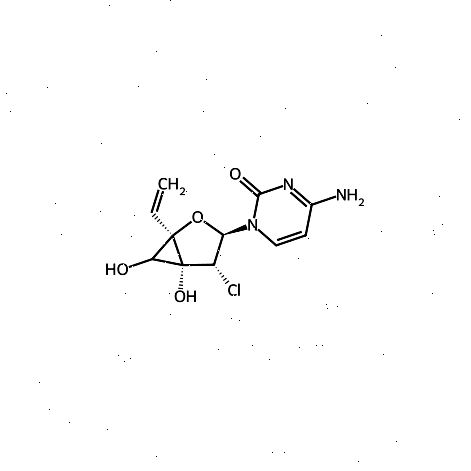 C=C[C@]12O[C@@H](n3ccc(N)nc3=O)[C@H](Cl)[C@@]1(O)C2O